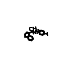 CC(NCc1ccc(I)cc1)c1cccc2ccccc12